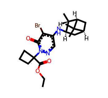 CCOC(=O)C1(n2ncc(N[C@@H]3C[C@@H]4C[C@H]([C@H]3C)C4(C)C)c(Br)c2=O)CCC1